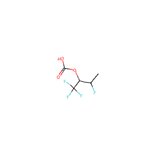 CC(F)C(OC(=O)O)C(F)(F)F